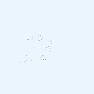 CC(=NOCc1ccc(-c2ccccc2)cc1)c1ccc(-c2noc([C@@H]3CCN(C(=N)N)C3)n2)cc1.Cl